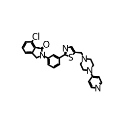 O=C1c2c(Cl)cccc2CN1c1cccc(-c2ncc(CN3CCN(c4ccncc4)CC3)s2)c1